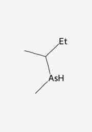 CCC(C)[AsH]C